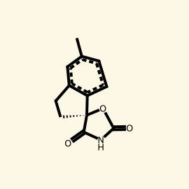 Cc1ccc2c(c1)CC[C@@]21OC(=O)NC1=O